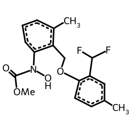 COC(=O)N(O)c1cccc(C)c1COc1ccc(C)cc1C(F)F